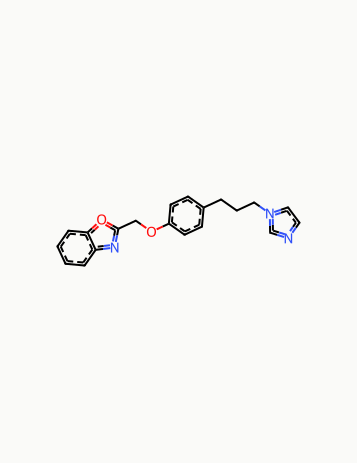 c1ccc2oc(COc3ccc(CCCn4ccnc4)cc3)nc2c1